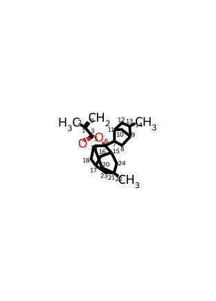 C=C(C)C(=O)OC1(C2CC3CC2CC3C)C2CC3CC1CC(C)(C3)C2